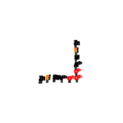 [Al+3].[Al+3].[O-2].[O-2].[O-2].[P].[P].[Si].[Si].[Zn].[Zn]